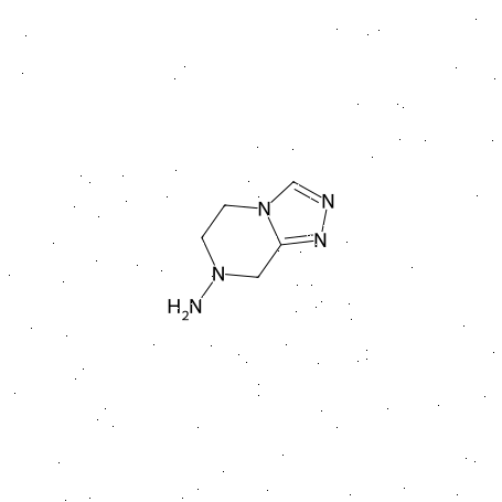 NN1CCn2cnnc2C1